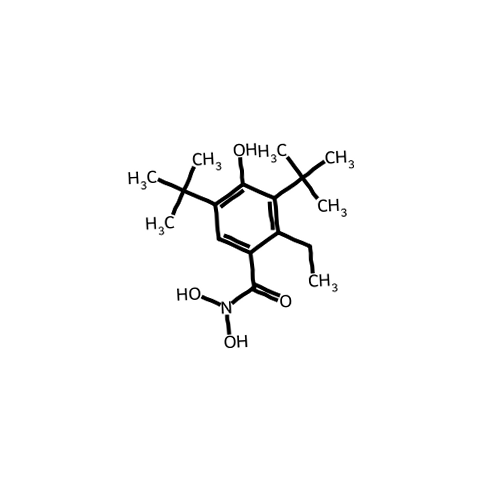 CCc1c(C(=O)N(O)O)cc(C(C)(C)C)c(O)c1C(C)(C)C